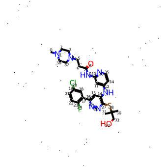 CN1CCN(CCC(=O)Nc2cc(Nc3cc(-c4cc(Cl)ccc4F)nnc3SC(C)(C)CO)ccn2)CC1